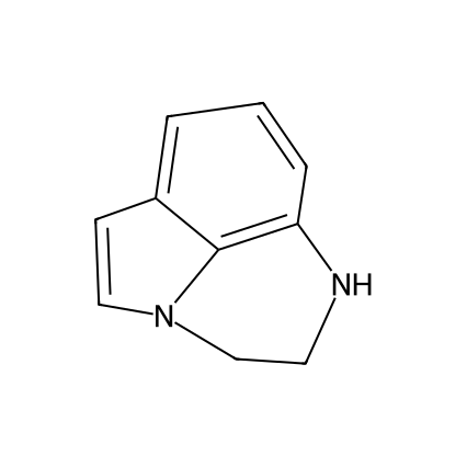 c1cc2c3c(c1)ccn3CCN2